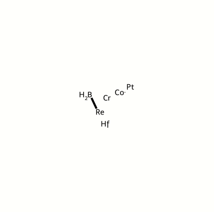 [BH2][Re].[Co].[Cr].[Hf].[Pt]